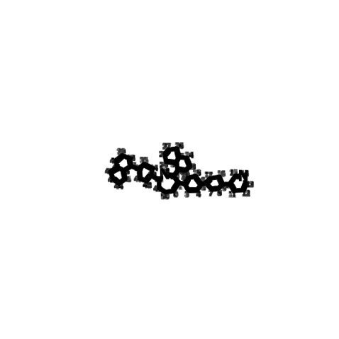 C1=C(c2ccc(-c3ccc(-c4cccnc4)cc3)cc2)C(c2cccc3ccccc23)=NC(c2ccc(-c3cccc4ccccc34)cc2)CC1